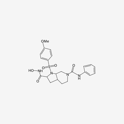 COc1ccc(S(=O)(=O)N2C(C(=O)NO)CC3CCN(C(=O)Nc4ccccc4)CC32)cc1